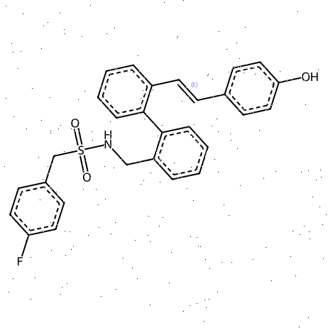 O=S(=O)(Cc1ccc(F)cc1)NCc1ccccc1-c1ccccc1/C=C/c1ccc(O)cc1